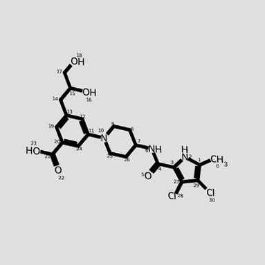 Cc1[nH]c(C(=O)NC2CCN(c3cc(CC(O)CO)cc(C(=O)O)c3)CC2)c(Cl)c1Cl